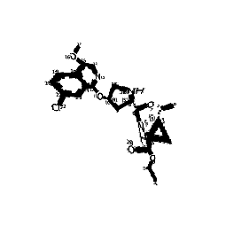 C=C[C@@H]1C[C@]1(NC(=O)[C@@H]1C[C@@H](Oc2ncc(OC)c3ccc(Cl)cc23)CN1)C(=O)OCC